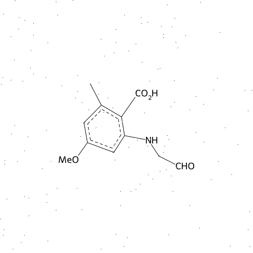 COc1cc(C)c(C(=O)O)c(NCC=O)c1